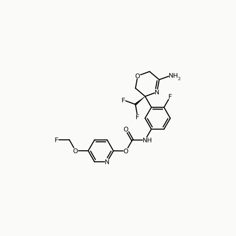 NC1=N[C@@](c2cc(NC(=O)Oc3ccc(OCF)cn3)ccc2F)(C(F)F)COC1